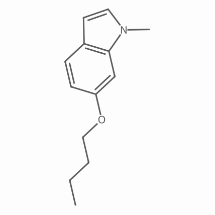 CCCCOc1ccc2ccn(C)c2c1